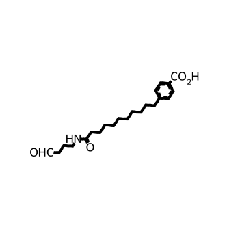 O=CCCCNC(=O)CCCCCCCCCCc1ccc(C(=O)O)cc1